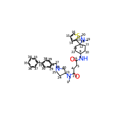 CN(C(=O)CCC(=O)NC1CCC(c2cccs2)(N(C)C)CC1)C1CCN(Cc2ccc(-c3ccccc3)cc2)C1